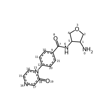 NC1COCC1NC(=O)c1ccc(-n2ccncc2=O)cc1